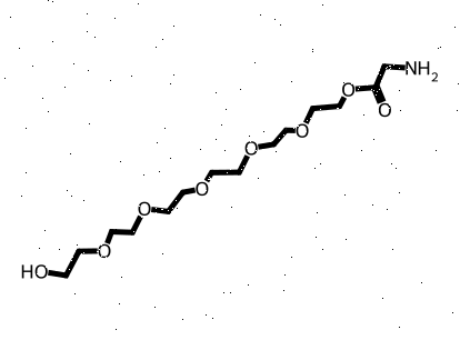 NCC(=O)OCCOCCOCCOCCOCCOCCO